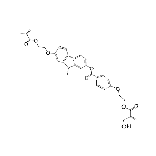 C=C(C)C(=O)OCCOc1ccc2c(c1)C(C)c1cc(OC(=O)c3ccc(OCCOC(=O)C(=C)CO)cc3)ccc1-2